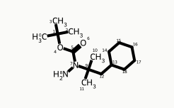 CC(C)(C)OC(=O)N(N)C(C)(C)CC1CCCCC1